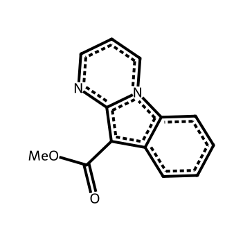 COC(=O)c1c2ccccc2n2cccnc12